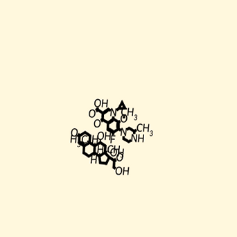 COc1c(N2CCNC(C)C2)c(F)cc2c(=O)c(C(=O)O)cn(C3CC3)c12.C[C@]12CCC(=O)C=C1CC[C@@H]1[C@@H]2[C@@H](O)C[C@@]2(C)[C@H]1CC[C@]2(O)C(=O)CO